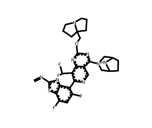 C=Nc1nc2c(-c3ncc4c(N5CC6CCC(C5)N6)nc(OCC56CCCN5CCC6)nc4c3C(F)F)c(F)cc(F)c2s1